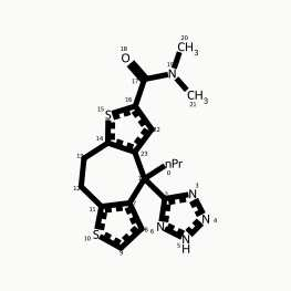 CCCC1(c2nn[nH]n2)c2ccsc2CCc2sc(C(=O)N(C)C)cc21